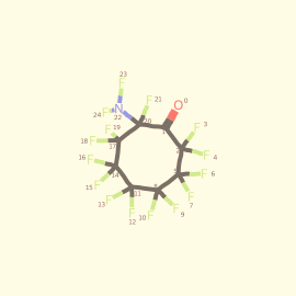 O=C1C(F)(F)C(F)(F)C(F)(F)C(F)(F)C(F)(F)C(F)(F)C1(F)N(F)F